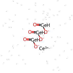 [Ce+3].[O]=[GeH][O-].[O]=[GeH][O-].[O]=[GeH][O-]